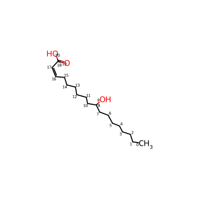 CCCCCCCCC(O)CCCCCC/C=C\C(=O)O